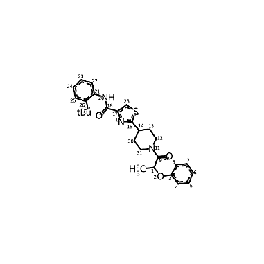 CC(Oc1ccccc1)C(=O)N1CCC(c2nc(C(=O)Nc3ccccc3C(C)(C)C)cs2)CC1